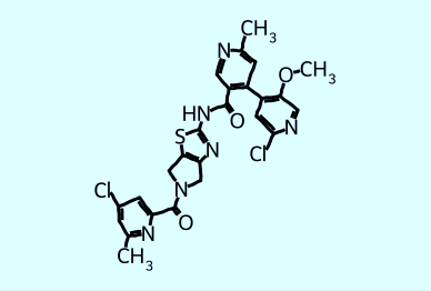 COc1cnc(Cl)cc1-c1cc(C)ncc1C(=O)Nc1nc2c(s1)CN(C(=O)c1cc(Cl)cc(C)n1)C2